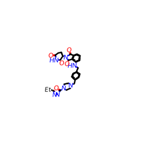 CCc1nnc(N2CCN(Cc3ccc(CNc4cccc5c4C(=O)N(C4CCC(=O)NC4=O)C5=O)cc3)CC2)o1